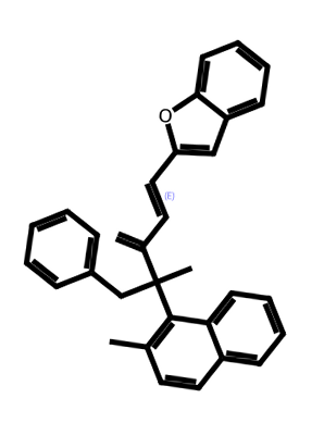 C=C(/C=C/c1cc2ccccc2o1)C(C)(Cc1ccccc1)c1c(C)ccc2ccccc12